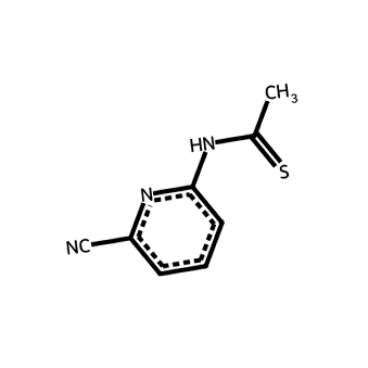 CC(=S)Nc1cccc(C#N)n1